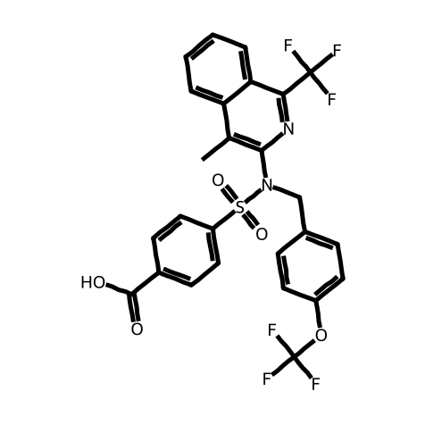 Cc1c(N(Cc2ccc(OC(F)(F)F)cc2)S(=O)(=O)c2ccc(C(=O)O)cc2)nc(C(F)(F)F)c2ccccc12